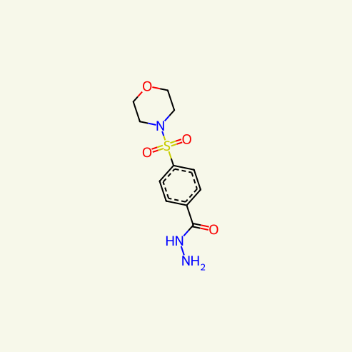 NNC(=O)c1ccc(S(=O)(=O)N2CCOCC2)cc1